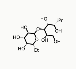 CC[C@H]1OC(O[C@@H]([C@H](O)[C@@H](O)C(C)C)[C@H](O)CO)[C@H](O)[C@@H](O)[C@H]1O